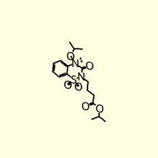 CC(C)OC(=O)CCCN1C(=O)[N+](C)(OC(C)C)c2ccccc2S1(=O)=O